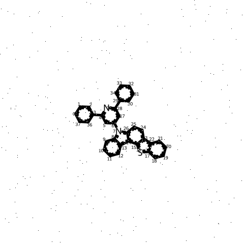 c1ccc(-c2cc(-n3c4ccccc4c4c5sc6ccccc6c5ccc43)cc(-c3ccccc3)n2)cc1